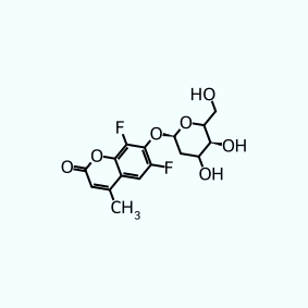 Cc1cc(=O)oc2c(F)c(O[C@@H]3CC(O)[C@H](O)C(CO)O3)c(F)cc12